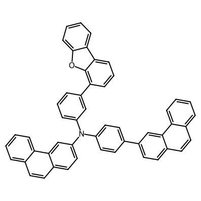 c1cc(-c2cccc3c2oc2ccccc23)cc(N(c2ccc(-c3ccc4ccc5ccccc5c4c3)cc2)c2ccc3ccc4ccccc4c3c2)c1